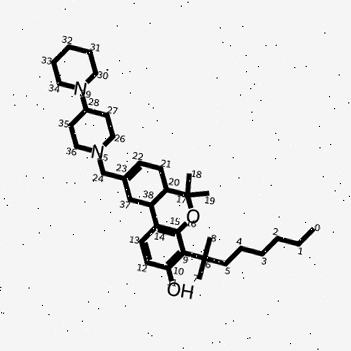 CCCCCCC(C)(C)c1c(O)ccc2c1OC(C)(C)C1CC=C(CN3CCC(N4CCCCC4)CC3)CC21